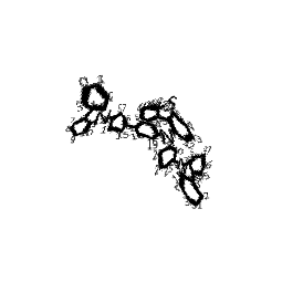 c1ccc2c(c#1)c1ccccc1n2-c1ccc(-c2ccc(N(c3cccc(-n4c5ccccc5c5ccccc54)c3)c3cccc4sc5ccccc5c34)cc2)cc1